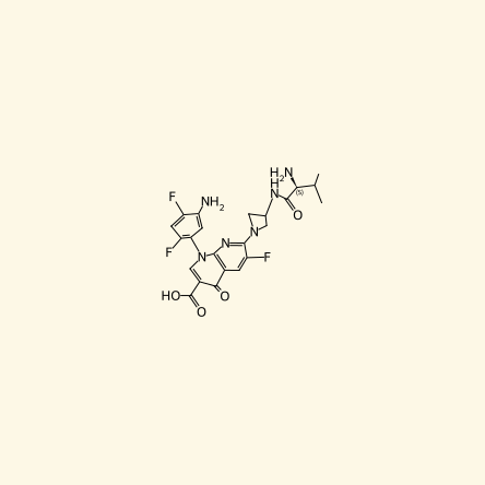 CC(C)[C@H](N)C(=O)NC1CN(c2nc3c(cc2F)c(=O)c(C(=O)O)cn3-c2cc(N)c(F)cc2F)C1